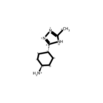 Cc1nnc([C@H]2CC[C@H](N)CC2)[nH]1